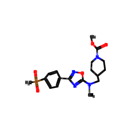 CN(CC1CCN(C(=O)OC(C)(C)C)CC1)c1nc(-c2ccc(S(C)(=O)=O)cc2)no1